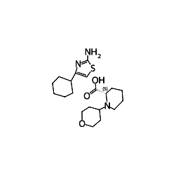 Nc1nc(C2CCCCC2)cs1.O=C(O)[C@@H]1CCCCN1C1CCOCC1